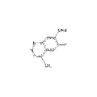 COc1cc2nncc(C)c2cc1F